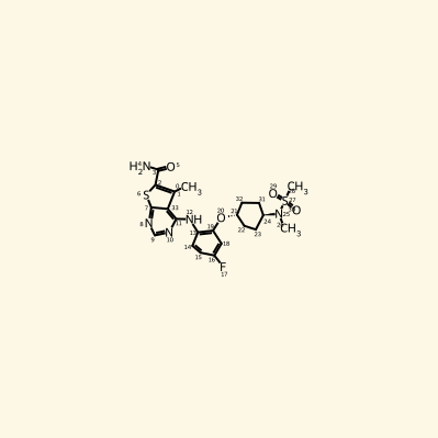 Cc1c(C(N)=O)sc2ncnc(Nc3ccc(F)cc3O[C@H]3CC[C@H](N(C)S(C)(=O)=O)CC3)c12